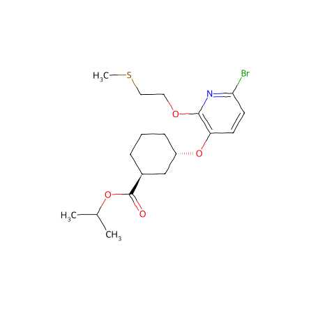 CSCCOc1nc(Br)ccc1O[C@H]1CCC[C@H](C(=O)OC(C)C)C1